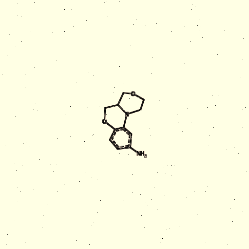 Nc1ccc2c(c1)N1CCOCC1CO2